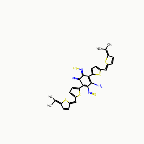 N#CC(C#N)=c1cc/c(=C/c2ccc(C3=C(N=S)C(N)=C(c4ccc(/C=c5/ccc(=C(C#N)C#N)s5)s4)/C(=N/S)C3=N)s2)s1